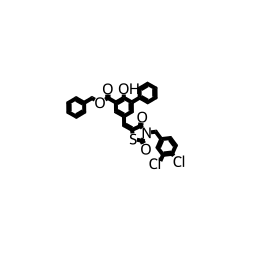 O=C(OCc1ccccc1)c1cc(/C=C2/SC(=O)N(Cc3ccc(Cl)c(Cl)c3)C2=O)cc(-c2ccccc2)c1O